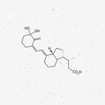 C=C1/C(=C\C=C2/CCC[C@]3(C)[C@@H]([C@H](C)CC(=O)O)CC[C@@H]23)CCCC1(O)O